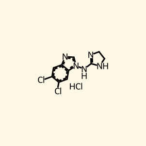 Cl.Clc1cc2ncn(NC3=NCCN3)c2cc1Cl